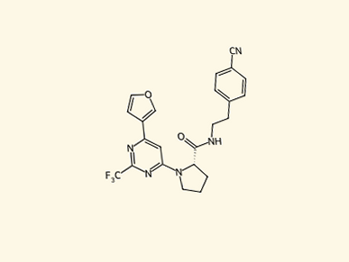 N#Cc1ccc(CCNC(=O)[C@@H]2CCCN2c2cc(-c3ccoc3)nc(C(F)(F)F)n2)cc1